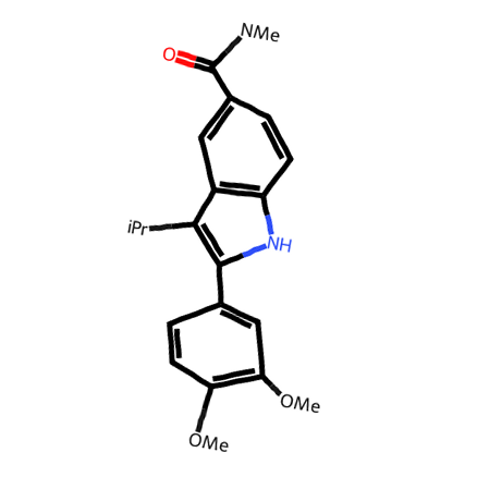 CNC(=O)c1ccc2[nH]c(-c3ccc(OC)c(OC)c3)c(C(C)C)c2c1